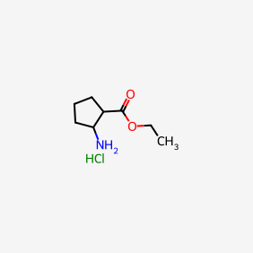 CCOC(=O)C1CCCC1N.Cl